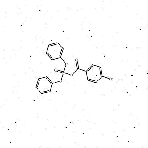 CCc1ccc(C(=O)OP(=O)(Oc2ccccc2)Oc2ccccc2)cc1